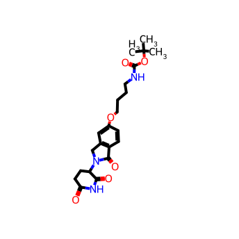 CC(C)(C)OC(=O)NCCCCOc1ccc2c(c1)CN(C1CCC(=O)NC1=O)C2=O